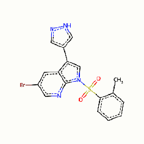 Cc1ccccc1S(=O)(=O)n1cc(-c2cn[nH]c2)c2cc(Br)cnc21